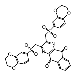 O=C1c2ccccc2C(=O)c2nc(CS(=O)(=O)c3ccc4c(c3)OCCO4)c(CS(=O)(=O)c3ccc4c(c3)OCCO4)nc21